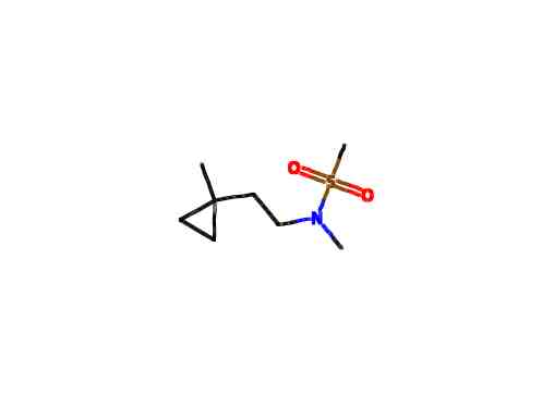 CN(CCC1(C)CC1)S(C)(=O)=O